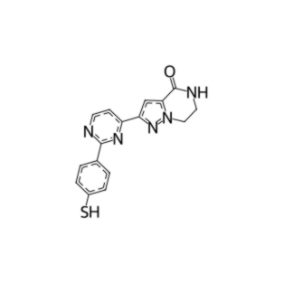 O=C1NCCn2nc(-c3ccnc(-c4ccc(S)cc4)n3)cc21